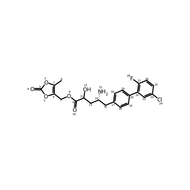 Cc1oc(=O)oc1COC(=O)C(O)C[C@H](N)Cc1ccc(-c2cc(Cl)ccc2F)cc1